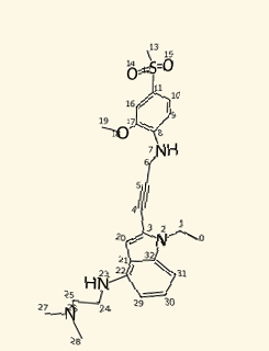 CCn1c(C#CCNc2ccc(S(C)(=O)=O)cc2OC)cc2c(NCCN(C)C)cccc21